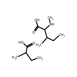 CCC(C)C(=O)O.CCC(C)C(NC)C(=O)O